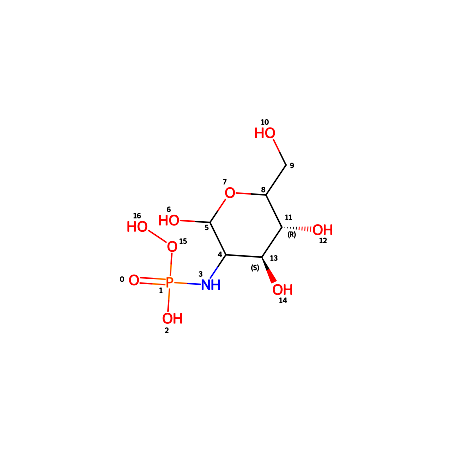 O=P(O)(NC1C(O)OC(CO)[C@H](O)[C@H]1O)OO